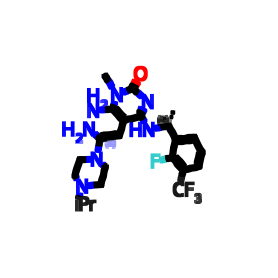 CC(C)N1CCN(/C(N)=C/c2c(N[C@H](C)c3cccc(C(F)(F)F)c3F)nc(=O)n(C)c2N)CC1